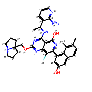 CCc1c(C)ccc2cc(O)cc(-c3nc(O)c4c(NC(C)c5cccnc5N)nc(OCC56CCCN5CCC6)nc4c3F)c12